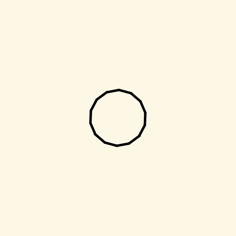 [CH]1CCC[CH]CCCCCCCCC1